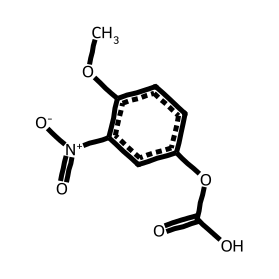 COc1ccc(OC(=O)O)cc1[N+](=O)[O-]